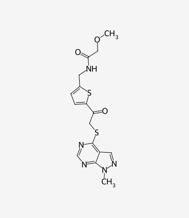 COCC(=O)NCc1ccc(C(=O)CSc2ncnc3c2cnn3C)s1